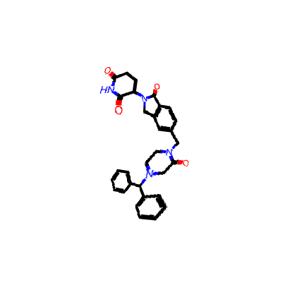 O=C1CCC(N2Cc3cc(CN4CCN(C(c5ccccc5)c5ccccc5)CC4=O)ccc3C2=O)C(=O)N1